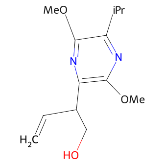 C=CC(CO)c1nc(OC)c(C(C)C)nc1OC